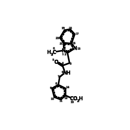 Cn1c(CC(=O)NCc2cccc(C(=O)O)c2)nc2ccccc21